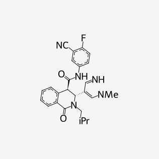 CN/C=C(\C=N)[C@H]1[C@H](C(=O)Nc2ccc(F)c(C#N)c2)c2ccccc2C(=O)N1CC(C)C